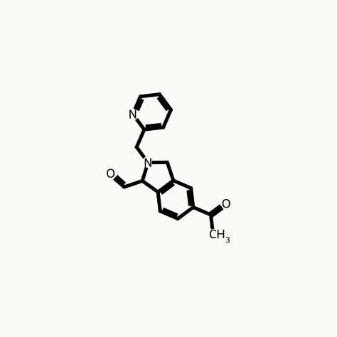 CC(=O)c1ccc2c(c1)CN(Cc1ccccn1)C2C=O